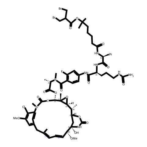 COc1cc2cc(c1Cl)N(C)C(=O)C[C@H](OC(=O)[C@H](C)N(C)C(=O)c1ccc(NC(=O)[C@H](CCCNC(N)=O)NC(=O)[C@@H](NC(=O)CCCCC(C)(C)OC(=O)C(CBr)CBr)C(C)C)cc1F)[C@]1(C)O[C@H]1[C@H](C)[C@@H]1C[C@@](O)(NC(=O)O1)[C@H](OC)/C=C/C=C(\C)C2